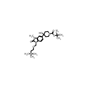 Cn1c(=O)n(COCC[Si](C)(C)C)c2ccc(C3(O)CCN(C(=O)OC(C)(C)C)CC3)cc21